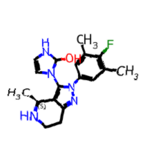 Cc1cc(-n2nc3c(c2N2C=CNC2O)[C@H](C)NCC3)cc(C)c1F